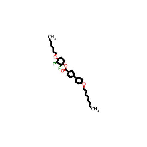 CCCCCCCCOc1ccc(-c2ccc(C(=O)Oc3ccc(OCCCCCCC)c(F)c3F)cc2)cc1